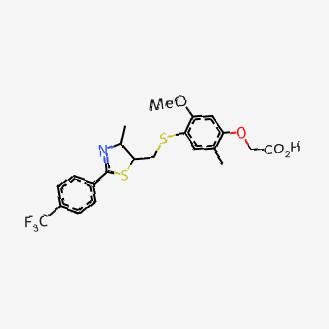 COc1cc(OCC(=O)O)c(C)cc1SCC1SC(c2ccc(C(F)(F)F)cc2)=NC1C